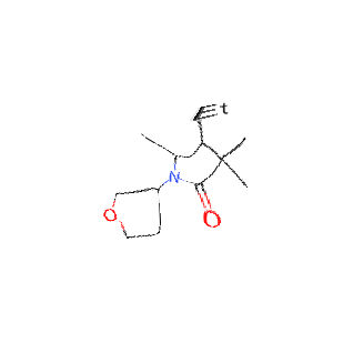 CCC1C(C)N(C2CCOC2)C(=O)C1(C)C